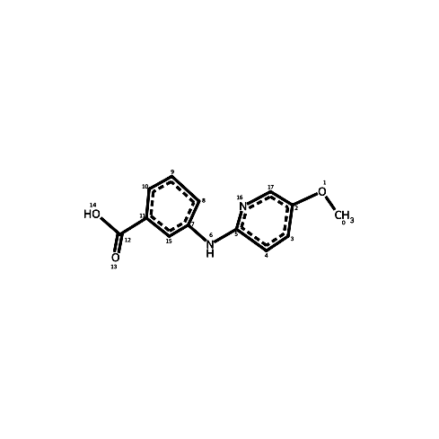 COc1ccc(Nc2cccc(C(=O)O)c2)nc1